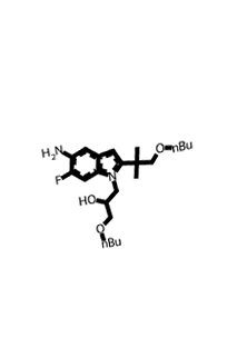 CCCCOCC(O)Cn1c(C(C)(C)COCCCC)cc2cc(N)c(F)cc21